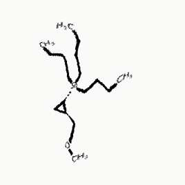 CCC[CH2][Sn]([CH2]CCC)([CH2]CCC)[C@H]1C[C@@H]1COC